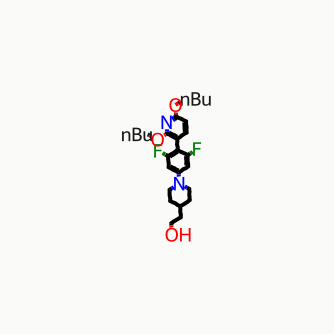 CCCCOc1ccc(-c2c(F)cc(N3CCC(CCO)CC3)cc2F)c(OCCCC)n1